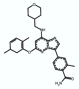 CC1=C(Oc2cc(NCC3CCOCC3)c3ncc(-c4ccc(C(N)=O)c(C)c4)n3n2)CC(C)C=C1